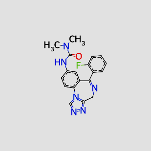 CN(C)C(=O)Nc1ccc2c(c1)C(c1ccccc1F)=NCc1nncn1-2